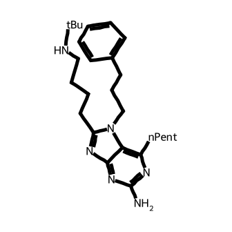 CCCCCc1nc(N)nc2nc(CCCCNC(C)(C)C)n(CCCc3ccccc3)c12